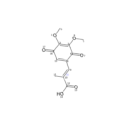 COC1=C(OC)C(=O)C(/C=C(\C)C(=O)O)=CC1=O